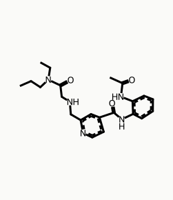 CCCN(CC)C(=O)CNCc1cc(C(=O)Nc2ccccc2NC(C)=O)ccn1